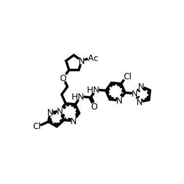 CC(=O)N1CCC(OCCc2c(NC(=O)Nc3cnc(-n4nccn4)c(Cl)c3)cnc3cc(Cl)nn23)C1